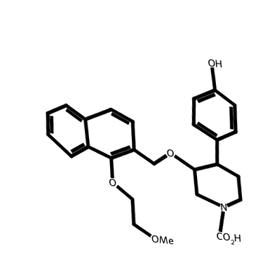 COCCOc1c(COC2CN(C(=O)O)CCC2c2ccc(O)cc2)ccc2ccccc12